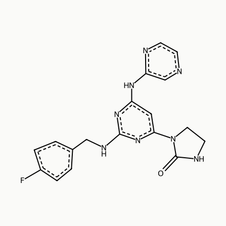 O=C1NCCN1c1cc(Nc2cnccn2)nc(NCc2ccc(F)cc2)n1